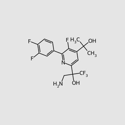 CC(C)(O)c1cc(C(O)(CN)C(F)(F)F)nc(-c2ccc(F)c(F)c2)c1F